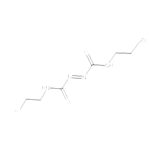 CC(C)CCNC(=O)N=NC(=O)NCCC(C)C